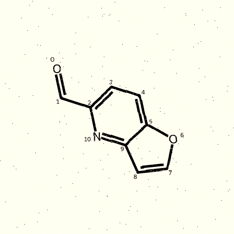 O=Cc1ccc2occc2n1